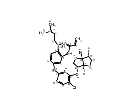 C=CC(=O)Nc1cc(Nc2ncc(Cl)c(O[C@@H]3CO[C@H]4[C@@H]3OC[C@@H]4F)n2)ccc1N(C)CCN(C)C